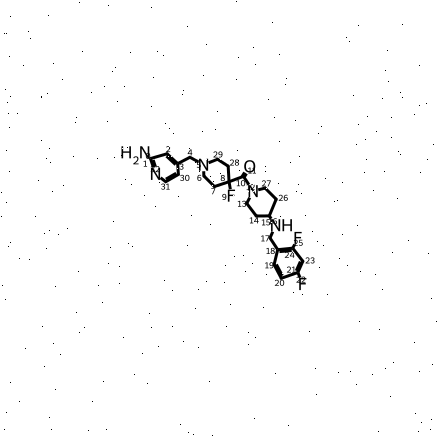 Nc1cc(CN2CCC(F)(C(=O)N3CCC(NCc4ccc(F)cc4F)CC3)CC2)ccn1